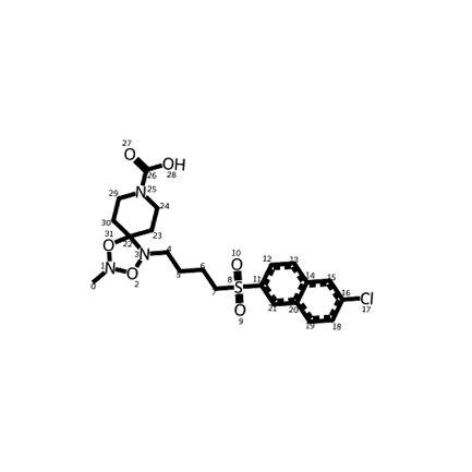 CN1ON(CCCCS(=O)(=O)c2ccc3cc(Cl)ccc3c2)C2(CCN(C(=O)O)CC2)O1